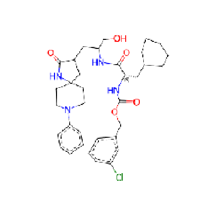 O=C(N[C@@H](CC1CCCCC1)C(=O)NC(CO)CC1CC2(CCN(c3ccccc3)CC2)NC1=O)OCc1cccc(Cl)c1